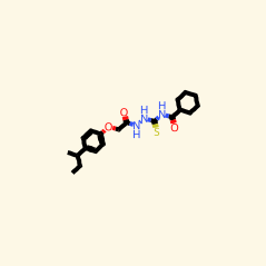 CCC(C)c1ccc(OCC(=O)NNC(=S)NC(=O)C2CCCCC2)cc1